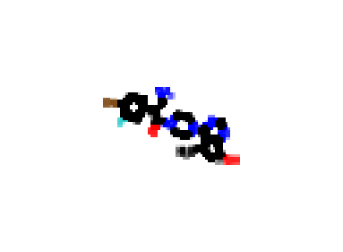 CC1C[C@H](O)c2ncnc(N3CCN(C(=O)[C@H](CN)c4ccc(Br)c(F)c4)CC3)c21